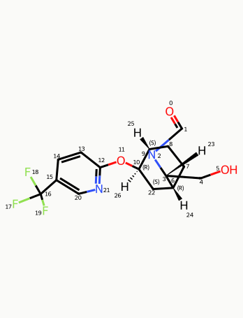 O=CN1[C@H](CO)[C@@H]2CC[C@H]1[C@H](Oc1ccc(C(F)(F)F)cn1)C2